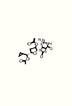 CC(=O)OC(C1CC1)[C@@H]1CC(OC(C)=O)[C@H](n2c(=O)sc3c(=O)[nH]c(N)nc32)O1